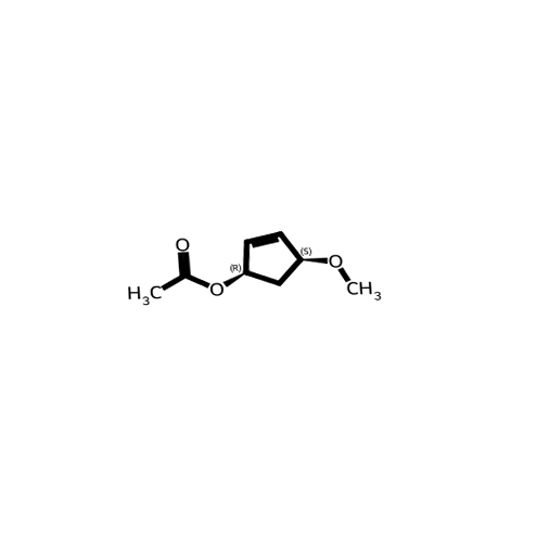 CO[C@@H]1C=C[C@H](OC(C)=O)C1